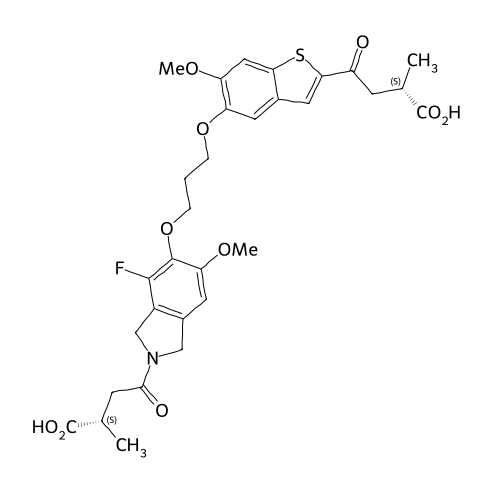 COc1cc2sc(C(=O)C[C@H](C)C(=O)O)cc2cc1OCCCOc1c(OC)cc2c(c1F)CN(C(=O)C[C@H](C)C(=O)O)C2